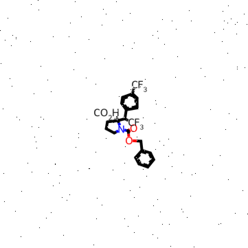 O=C(OCc1ccccc1)N1CCC[C@@]1(C(=O)O)C(c1ccc(C(F)(F)F)cc1)C(F)(F)F